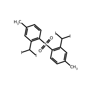 Cc1ccc(S(=O)(=O)c2ccc(C)cc2C(I)I)c(C(I)I)c1